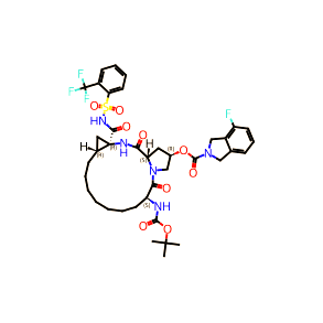 CC(C)(C)OC(=O)N[C@H]1CCCCCCC[C@@H]2C[C@@]2(C(=O)NS(=O)(=O)c2ccccc2C(F)(F)F)NC(=O)[C@@H]2C[C@@H](OC(=O)N3Cc4cccc(F)c4C3)CN2C1=O